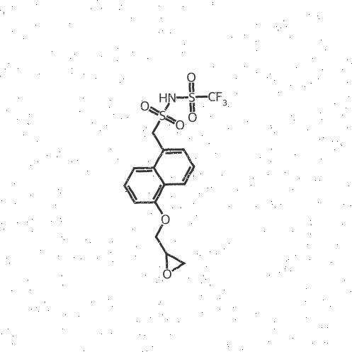 O=S(=O)(Cc1cccc2c(OCC3CO3)cccc12)NS(=O)(=O)C(F)(F)F